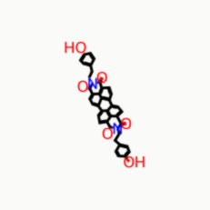 O=C1c2ccc3c4ccc5c6c(ccc(c7ccc(c2c37)C(=O)N1CCc1ccc(O)cc1)c64)C(=O)N(CCc1ccc(O)cc1)C5=O